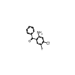 Nc1cc(Cl)c(F)cc1C(=O)c1ccccc1